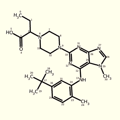 CCC(C(=O)O)N1CCN(c2nc(Nc3cc(C(C)(C)C)ccc3C)c3c(ncn3C)n2)CC1